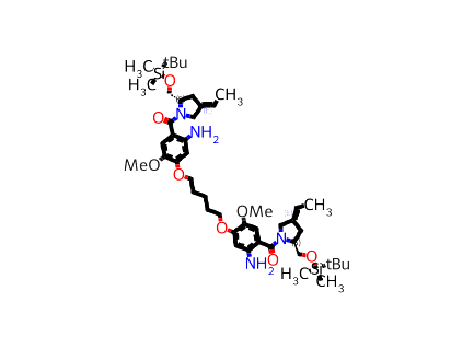 C/C=C1\C[C@@H](CO[Si](C)(C)C(C)(C)C)N(C(=O)c2cc(OC)c(OCCCCCOc3cc(N)c(C(=O)N4C/C(=C/C)C[C@H]4CO[Si](C)(C)C(C)(C)C)cc3OC)cc2N)C1